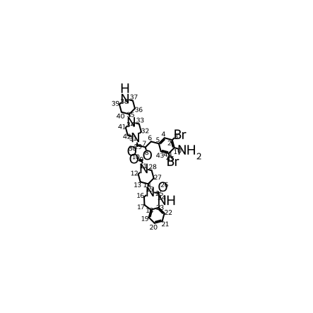 Nc1c(Br)cc(CC(OC(=O)N2CCC(N3CCc4ccccc4NC3=O)CC2)C(=O)N2CCN(C3CCNCC3)CC2)cc1Br